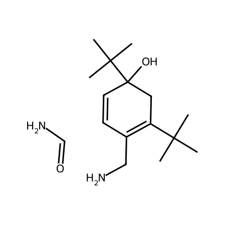 CC(C)(C)C1=C(CN)C=CC(O)(C(C)(C)C)C1.NC=O